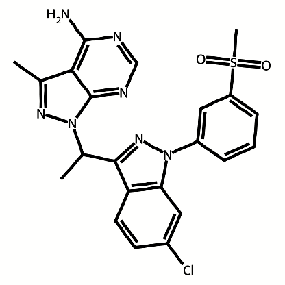 Cc1nn(C(C)c2nn(-c3cccc(S(C)(=O)=O)c3)c3cc(Cl)ccc23)c2ncnc(N)c12